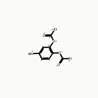 CCC(=O)Oc1ccc(C(C)(C)C)cc1OC(=O)CC